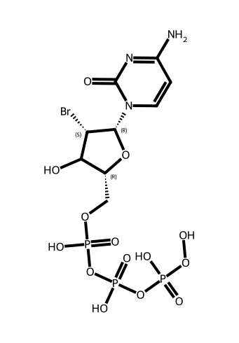 Nc1ccn([C@@H]2O[C@H](COP(=O)(O)OP(=O)(O)OP(=O)(O)OO)C(O)[C@@H]2Br)c(=O)n1